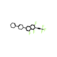 Fc1cc2cc(C3CC=C(C4=CCCCC4)CC3)cc(F)c2c(F)c1C#CC(F)(F)F